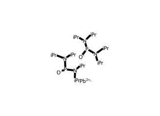 CC(C)N(C(C)C)P([O-])N(C(C)C)C(C)C.CC(C)N(C(C)C)P([O-])N(C(C)C)C(C)C.[Pb+2]